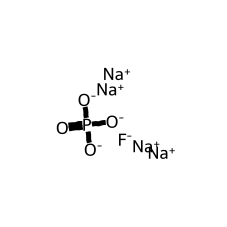 O=P([O-])([O-])[O-].[F-].[Na+].[Na+].[Na+].[Na+]